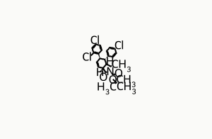 C[C@@H]1[C@H]2[C@@H](c3ccc(Cl)cc3)[C@H](c3ccc(Cl)cc3Cl)C=C[C@H]2C(=O)N1C(=O)OC(C)(C)C